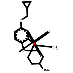 COC1CCC2(CC1)Oc1ccc(OCC3CC3)cc1C21NC(=S)N(C)C1=O